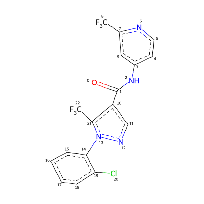 O=C(Nc1ccnc(C(F)(F)F)c1)c1cnn(-c2ccccc2Cl)c1C(F)(F)F